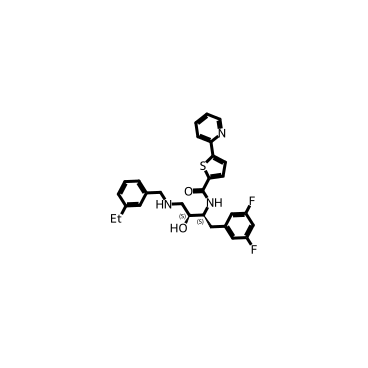 CCc1cccc(CNC[C@H](O)[C@H](Cc2cc(F)cc(F)c2)NC(=O)c2ccc(-c3ccccn3)s2)c1